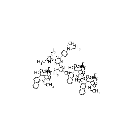 CCN(CC)c1ccc(-c2nc(-n3nc(C)cc3C)nc(-n3nc(C)cc3C)n2)cc1.CCN1C(=O)C(C(=O)O)(C(=O)C(F)(F)F)C(O)c2ccc3ccccc3c21.CCN1C(=O)C(C(=O)O)(C(=O)C(F)(F)F)C(O)c2ccc3ccccc3c21.CCN1C(=O)C(C(=O)O)(C(=O)C(F)(F)F)C(O)c2ccc3ccccc3c21